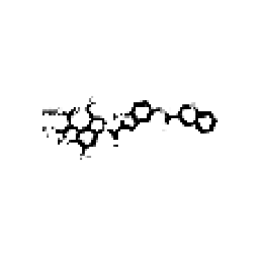 COC(=O)c1c(C(F)(F)F)[nH]c2c(O)cc3c(c12)C(CCl)CN3C(=O)c1cc2cc(NC(=O)c3cnc4ccccc4c3)ccc2[nH]1